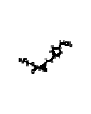 C=Cc1ccc(CCC2=NC2C(=O)OCC)cc1